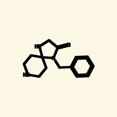 O=C1CNC2(CCNCC2)N1Cc1ccccc1